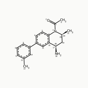 CC(=O)N1c2ccc(-c3cccc(C)c3)cc2[C@H](N)C[C@@H]1C